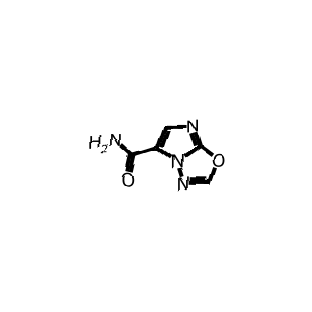 NC(=O)c1cnc2ocnn12